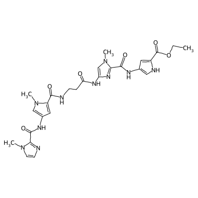 CCOC(=O)c1cc(NC(=O)c2nc(NC(=O)CCNC(=O)c3cc(NC(=O)c4nccn4C)cn3C)cn2C)c[nH]1